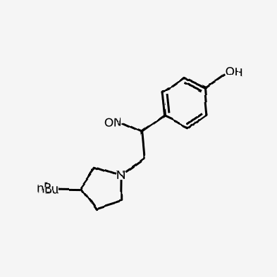 CCCCC1CCN(CC(N=O)c2ccc(O)cc2)C1